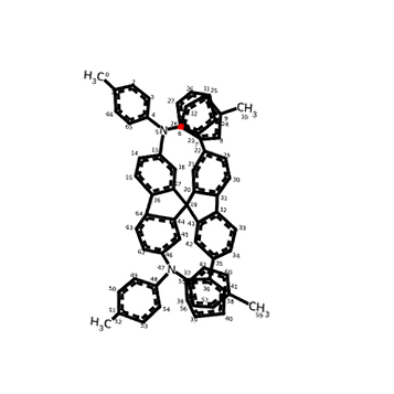 Cc1ccc(N(c2ccc(C)cc2)c2ccc3c(c2)C2(c4cc(-c5ccccc5)ccc4-c4ccc(-c5ccccc5)cc42)c2cc(N(c4ccc(C)cc4)c4ccc(C)cc4)ccc2-3)cc1